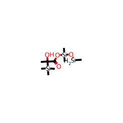 C[SiH2]O[Si](C)(C)OC(=O)C(C)(O)[Si](C)(C)C